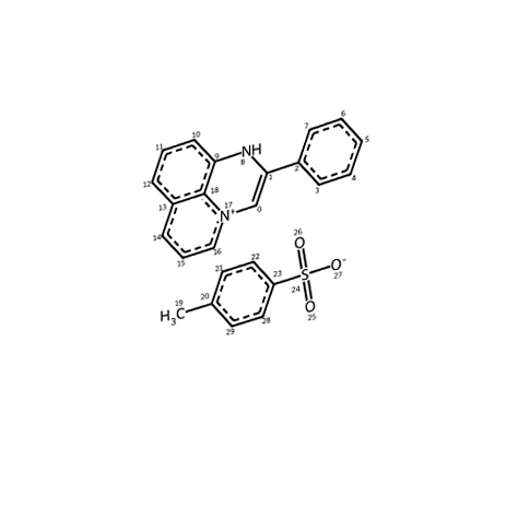 C1=C(c2ccccc2)Nc2cccc3ccc[n+]1c23.Cc1ccc(S(=O)(=O)[O-])cc1